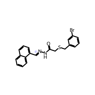 O=C(CSCc1cccc(Br)c1)N/N=C/c1cccc2ccccc12